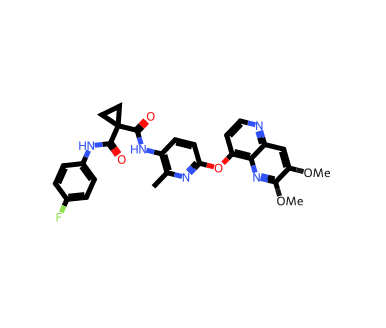 COc1cc2nccc(Oc3ccc(NC(=O)C4(C(=O)Nc5ccc(F)cc5)CC4)c(C)n3)c2nc1OC